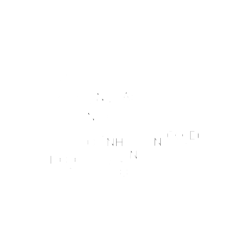 CCOC(=O)N1CCN(C(=O)[C@H](CCC(=O)O)NC(=O)c2cc(C(C)=O)nc(-c3ccccc3)n2)CC1